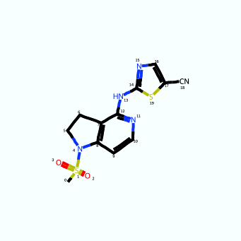 CS(=O)(=O)N1CCc2c1ccnc2Nc1ncc(C#N)s1